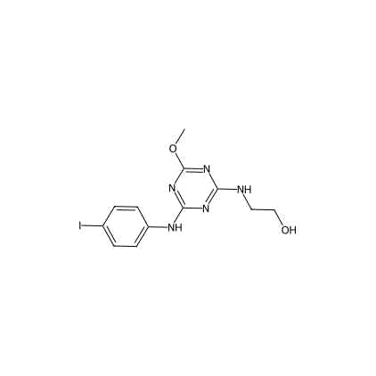 COc1nc(NCCO)nc(Nc2ccc(I)cc2)n1